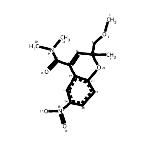 COCC1(C)C=C(C(=O)N(C)C)c2cc([N+](=O)[O-])ccc2O1